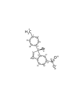 Cc1ccc([C@@](Br)(C=O)c2cccc([N+](=O)[O-])c2)cc1